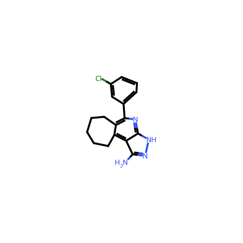 Nc1n[nH]c2nc(-c3cccc(Cl)c3)c3c(c12)CCCCC3